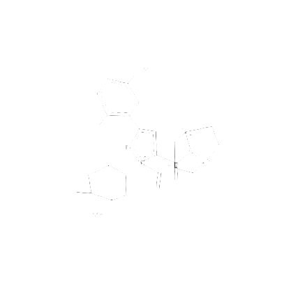 COc1cc(-c2cc(C(=O)N3[C@@H]4CC[C@H]3C[C@H](C(=O)N[C@H]3CC[C@](OC)(C(F)(F)F)CC3)C4)n[nH]2)c(F)cn1